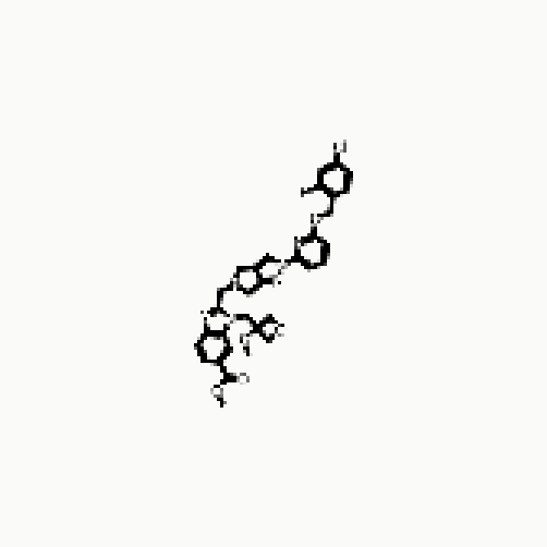 COC(=O)c1ccc2nc(CN3Cc4cn(-c5cccc(OCc6ccc(Cl)cc6F)n5)nc4C3)n(CC3(OC)COC3)c2c1